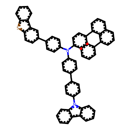 c1ccc(-c2cccc3cccc(-c4ccc(N(c5ccc(-c6ccc(-n7c8ccccc8c8ccccc87)cc6)cc5)c5ccc(-c6ccc7sc8ccccc8c7c6)cc5)cc4)c23)cc1